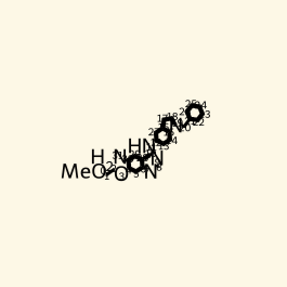 COCCOc1cc2ncnc(Nc3ccc4c(ccn4Cc4ccccc4)c3)c2cc1N